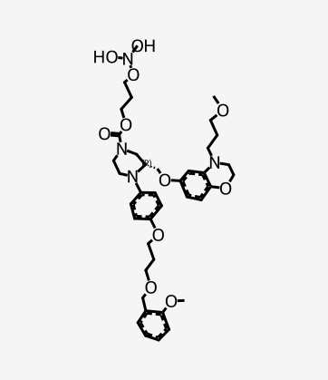 COCCCN1CCOc2ccc(OC[C@H]3CN(C(=O)OCCCON(O)O)CCN3c3ccc(OCCCOCc4ccccc4OC)cc3)cc21